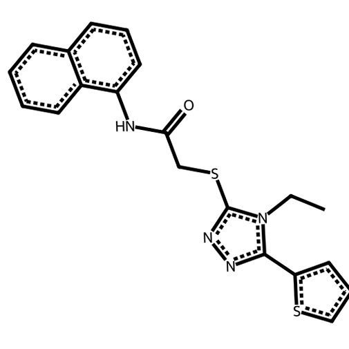 CCn1c(SCC(=O)Nc2cccc3ccccc23)nnc1-c1cccs1